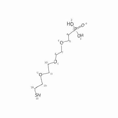 O=P(O)(O)CCOCCOCCOCCS